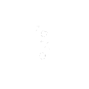 Cc1cc(C)cc([C@@H]2CCCCN2C(=O)C(=O)Nc2cncc(C(N)=O)c2)c1